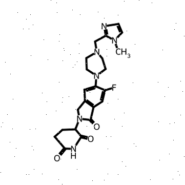 Cn1ccnc1CN1CCN(c2cc3c(cc2F)C(=O)N(C2CCC(=O)NC2=O)C3)CC1